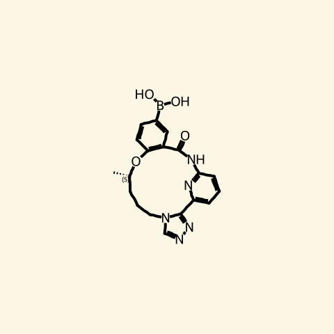 C[C@H]1CCCn2cnnc2-c2cccc(n2)NC(=O)c2cc(B(O)O)ccc2O1